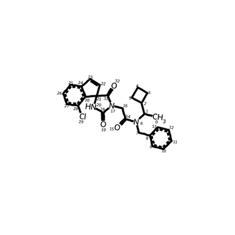 CC(C1CCC1)N(Cc1ccccc1)C(=O)CN1C(=O)NC2(C=Cc3cccc(Cl)c32)C1=O